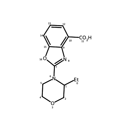 CCC1COCCN1c1nc2c(C(=O)O)cccc2o1